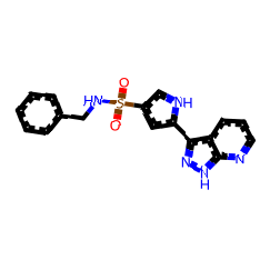 O=S(=O)(NCc1ccccc1)c1c[nH]c(-c2n[nH]c3ncccc23)c1